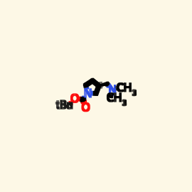 CN(C)C[C@@H]1CCN(C(=O)OC(C)(C)C)C1